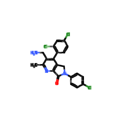 Cc1nc2c(c(-c3ccc(Cl)cc3Cl)c1CN)CN(c1ccc(Cl)cc1)C2=O